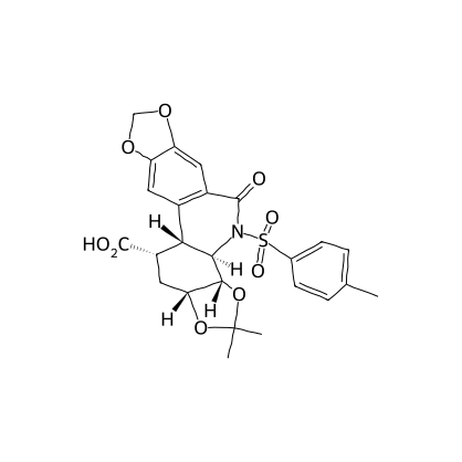 Cc1ccc(S(=O)(=O)N2C(=O)c3cc4c(cc3[C@@H]3[C@@H]2[C@@H]2OC(C)(C)O[C@@H]2C[C@@H]3C(=O)O)OCO4)cc1